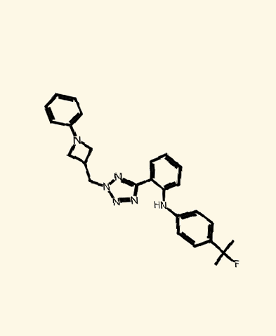 CC(C)(F)c1ccc(Nc2ccccc2-c2nnn(CC3CN(c4ccccc4)C3)n2)cc1